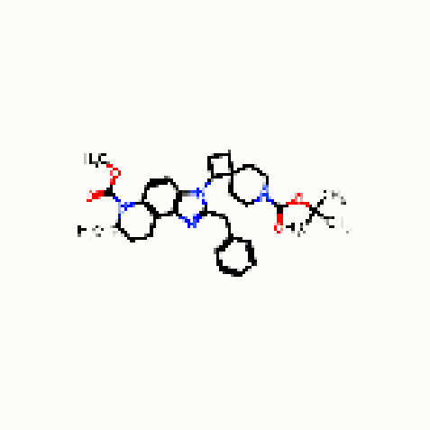 COC(=O)N1c2ccc3c(nc(Cc4ccccc4)n3C3CCC34CCN(C(=O)OC(C)(C)C)CC4)c2CC[C@@H]1C